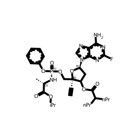 C#C[C@]1(CO[P@@](=O)(N[C@@H](C)C(=O)OC(C)C)Oc2ccccc2)O[C@@H](n2cnc3c(N)nc(F)nc32)CC1OC(=O)C(CCC)CCC